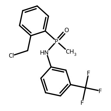 CP(=O)(Nc1cccc(C(F)(F)F)c1)c1ccccc1CCl